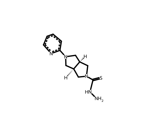 NNC(=S)N1C[C@@H]2CN(c3ccccn3)C[C@@H]2C1